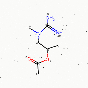 CC(=O)OC(C)CN(C)C(=N)N